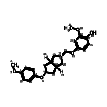 COc1ccc(O[C@H]2C[C@@H]3CN(COc4ccc(O)c(OC)n4)C[C@@H]3C2)cc1